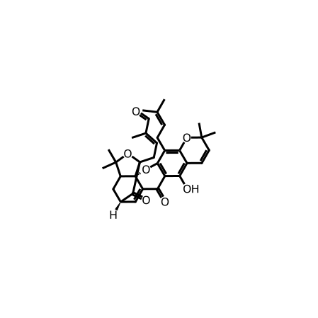 CC(C)=CCc1c2c(c(O)c3c1O[C@]14C(=C[C@@H]5CC1C(C)(C)OC4(C/C=C(\C)C=O)C5=O)C3=O)C=CC(C)(C)O2